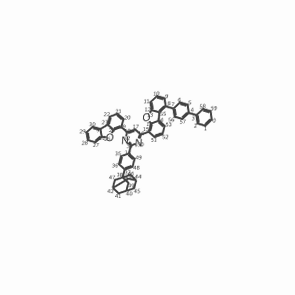 c1ccc(-c2ccc(-c3cccc4oc5c(-c6cc(-c7cccc8c7oc7ccccc78)nc(-c7ccc(C89CC%10CC(CC(C%10)C8)C9)cc7)n6)cccc5c34)cc2)cc1